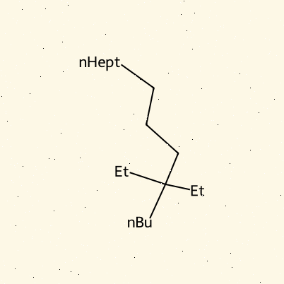 CCCCCCCCCCC(CC)(CC)CCCC